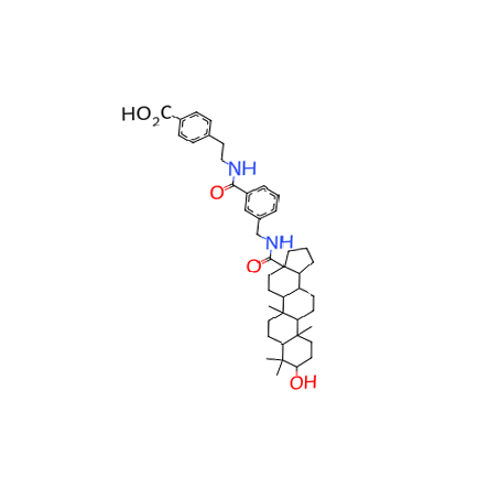 CC1(C)C(O)CCC2(C)C1CCC1(C)C3CCC4(C(=O)NCc5cccc(C(=O)NCCc6ccc(C(=O)O)cc6)c5)CCCC4C3CCC12